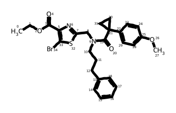 CCOC(=O)c1nc(CN(CCCc2ccccc2)C(=O)C2(c3ccc(OC)cc3)CC2)sc1Br